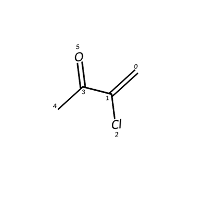 C=C(Cl)C(C)=O